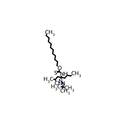 CCCCCCCCCCCCOC(=S)NC(CCCC)(CC(C)C)/N=N/C(C)(C)C